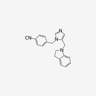 [C-]#[N+]c1ccc(Cn2cncc2CN2CCc3ccccc32)cc1